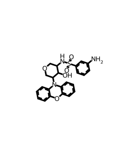 Nc1cccc(S(=O)(=O)NC2COCC(N3c4ccccc4Oc4ccccc43)C2O)c1